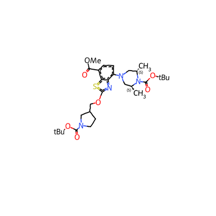 COC(=O)c1ccc(N2C[C@H](C)N(C(=O)OC(C)(C)C)[C@@H](C)C2)c2nc(OCC3CCN(C(=O)OC(C)(C)C)C3)sc12